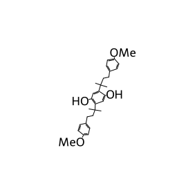 COc1ccc(CCC(C)(C)c2cc(O)c(C(C)(C)CCc3ccc(OC)cc3)cc2O)cc1